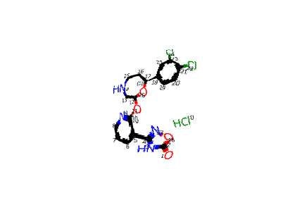 Cl.O=c1[nH]c(-c2cccnc2OC2CNCC[C@@H](c3ccc(Cl)c(Cl)c3)O2)no1